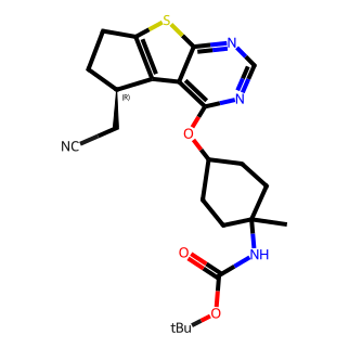 CC1(NC(=O)OC(C)(C)C)CCC(Oc2ncnc3sc4c(c23)[C@@H](CC#N)CC4)CC1